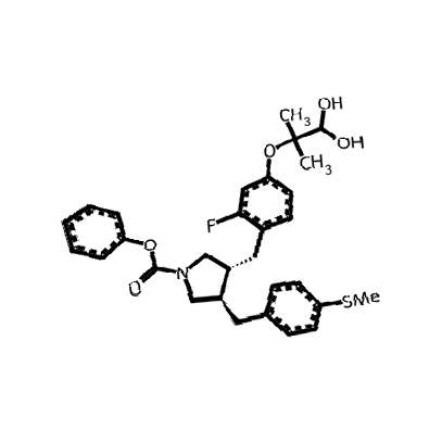 CSc1ccc(C[C@H]2CN(C(=O)Oc3ccccc3)C[C@@H]2Cc2ccc(OC(C)(C)C(O)O)cc2F)cc1